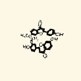 COc1cc(-c2cc(=O)c3ccc(O)cc3o2)ccc1O.COc1ccc2c(=O)cc(-c3ccc(O)cc3)oc2c1